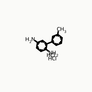 Cc1cccc(-c2cc(N)ccc2N)c1.Cl.Cl